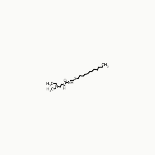 CCCCCCCCCCCCSCCNC(=O)NCCN(CC)CC